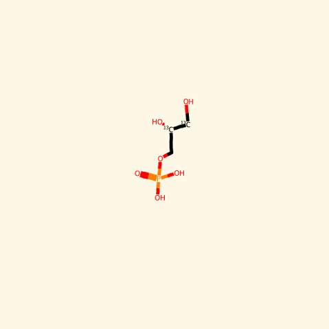 O=P(O)(O)OC[13C@H](O)[13CH2]O